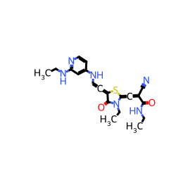 CCNC(=O)C(=C=c1sc(=C=CNc2ccnc(NCC)c2)c(=O)n1CC)C#N